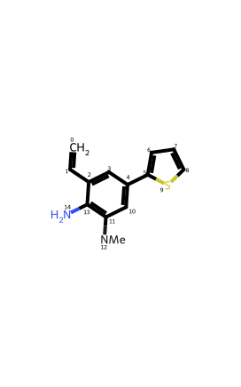 C=Cc1cc(-c2cccs2)cc(NC)c1N